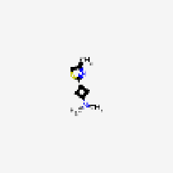 CC1CSC([C@H]2C[C@@H](N(C)C)C2)=N1